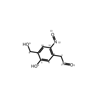 O=NCc1cc(O)c(CO)cc1N=O